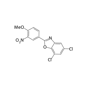 COc1ccc(-c2nc3cc(Cl)cc(Cl)c3o2)cc1[N+](=O)[O-]